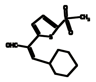 CS(=O)(=O)c1ccc(C(C=O)=CC2CCCCC2)s1